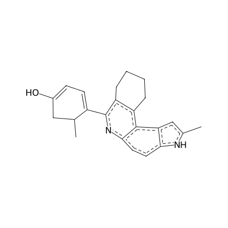 Cc1cc2c(ccc3nc(C4=CC=C(O)CC4C)c4c(c32)CCCC4)[nH]1